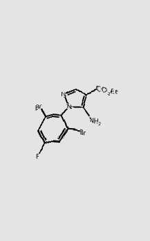 CCOC(=O)c1cnn(-c2c(Br)cc(F)cc2Br)c1N